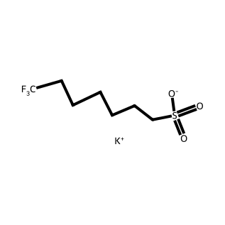 O=S(=O)([O-])CCCCCCC(F)(F)F.[K+]